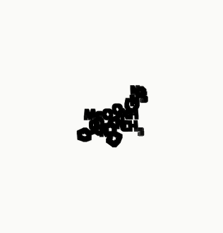 COc1c(C(=O)NC2CCN(c3nccs3)CC2)n(C)c2c1c(=O)n(CC(=O)c1ccccc1)c1ccccc21